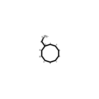 C[C](C)CC1CCCCCCCCC1